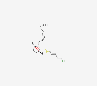 O=C(O)CCC/C=C\C[C@@H]1[C@H](CSCC=CCCCl)[C@@H]2CC[C@H]1O2